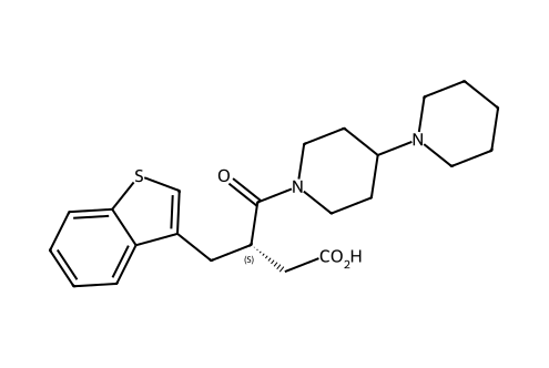 O=C(O)C[C@H](Cc1csc2ccccc12)C(=O)N1CCC(N2CCCCC2)CC1